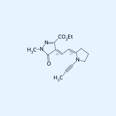 CC#CN1CCC/C1=C/C=C1/C(=O)N(C)N=C1C(=O)OCC